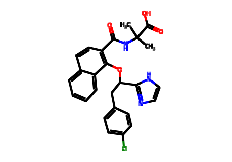 CC(C)(NC(=O)c1ccc2ccccc2c1OC(Cc1ccc(Cl)cc1)c1ncc[nH]1)C(=O)O